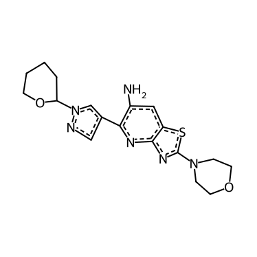 Nc1cc2sc(N3CCOCC3)nc2nc1-c1cnn(C2CCCCO2)c1